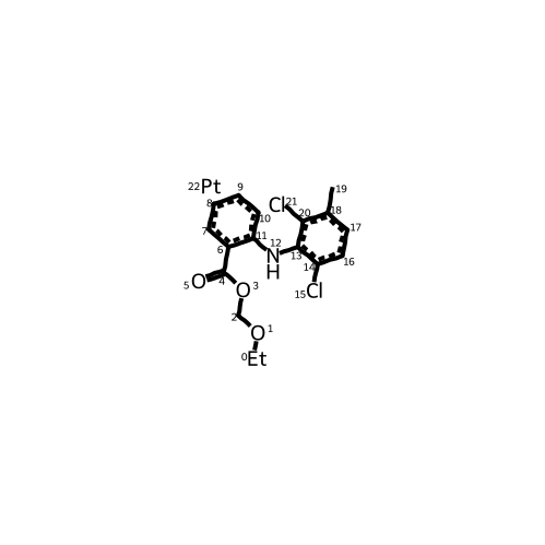 CCOCOC(=O)c1ccccc1Nc1c(Cl)ccc(C)c1Cl.[Pt]